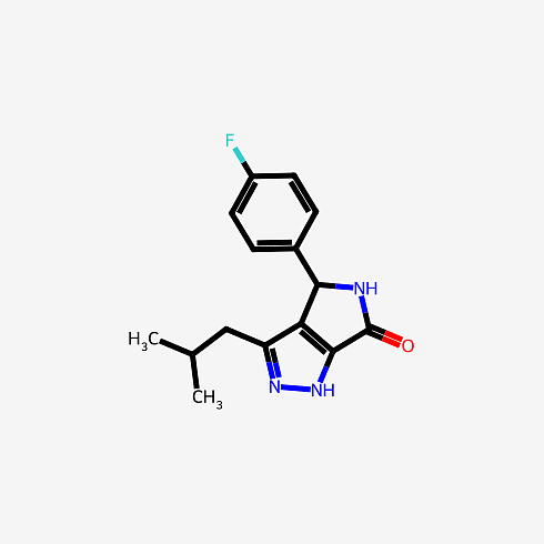 CC(C)Cc1n[nH]c2c1C(c1ccc(F)cc1)NC2=O